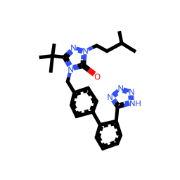 CC(C)CCn1nc(C(C)(C)C)n(Cc2ccc(-c3ccccc3-c3nnn[nH]3)cc2)c1=O